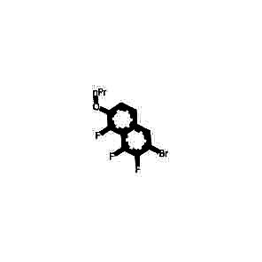 CCCOc1ccc2cc(Br)c(F)c(F)c2c1F